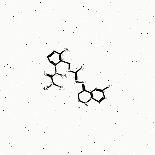 CC/C(=N\N=C1CCOc2ccc(F)cc21)OCc1c(C)cccc1N(N)C(=O)N(C)N